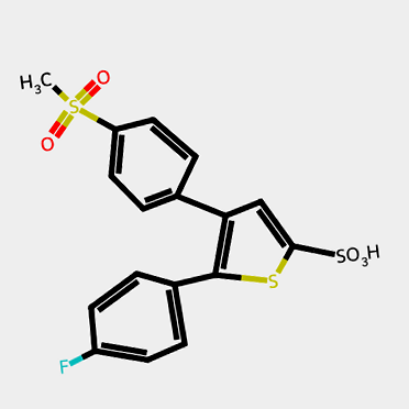 CS(=O)(=O)c1ccc(-c2cc(S(=O)(=O)O)sc2-c2ccc(F)cc2)cc1